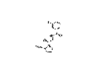 N#CC1CCCN1C(=O)CNC(=O)c1cccc(I)c1